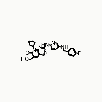 O=c1c(CO)cc2cnc(Nc3ccc(NCc4ccc(F)cc4)cn3)nc2n1C1CCCC1